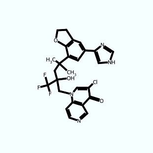 CC(C)(CC(O)(Cn1cc(Cl)c(=O)c2cnccc21)C(F)(F)F)c1cc(-c2c[nH]cn2)cc2c1OCC2